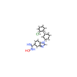 N=C(NO)c1ccc2c(c1)ncn2-c1cccc(-c2ccccc2Cl)c1